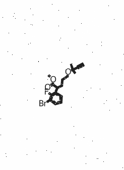 C#CC(C)(C)OCCCC(C(=O)OC)c1cccc(Br)c1F